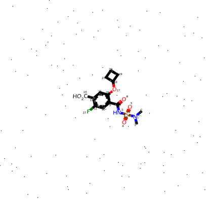 CN(C)S(=O)(=O)NC(=O)c1cc(F)c(C(=O)O)cc1OC1CCC1